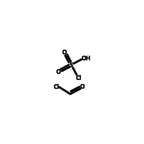 O=CCl.O=S(=O)(O)Cl